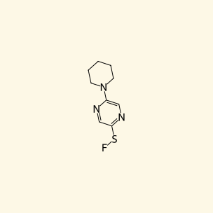 FSc1cnc(N2CCCCC2)cn1